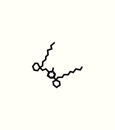 CCCCCCCCCC1(CCc2ccc(C3(CCCCCCCCC)CCCCC3)cc2C)CCCCC1